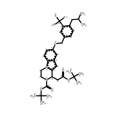 CC(C)Cc1ccc(COc2ccc3c(c2)cc2n3CCN(C(=O)OC(C)(C)C)C2CC(=O)OC(C)(C)C)cc1C(F)(F)F